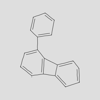 [c]1ccc(-c2ccccc2)c2c1-c1ccccc1-2